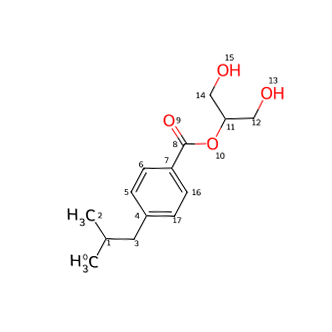 CC(C)Cc1ccc(C(=O)OC(CO)CO)cc1